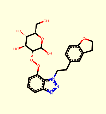 OC[C@H]1OC(O)[C@H](OOc2cccc3nnn(CCc4ccc5c(c4)CCO5)c23)[C@@H](O)[C@@H]1O